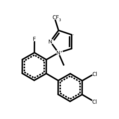 C[N+]1(c2c(F)cccc2-c2ccc(Cl)c(Cl)c2)C=[C]C(C(F)(F)F)=N1